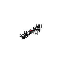 CCC(C)CC(=O)N(C)CC(=O)OC(C[C@@H](C)CC(O)CC1=NC(/C=C(\C)C(=O)NCC(=O)N(C)[C@@H](C)C(=O)NC)CS1)C(C)(C)C